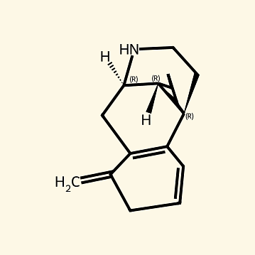 C=C1CC=CC2=C1C[C@H]1NCC[C@@]23CCCC[C@@H]13